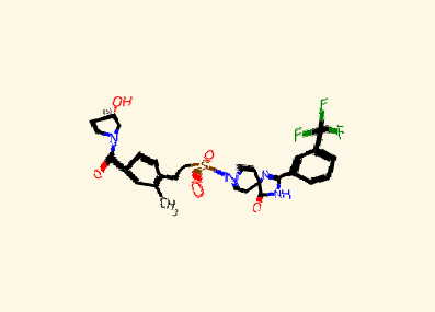 Cc1cc(C(=O)N2CC[C@H](O)C2)ccc1CCS(=O)(=O)N1CCC2(CC1)N=C(c1cccc(C(F)(F)F)c1)NC2=O